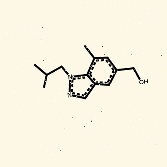 Cc1cc(CO)cc2cnn(CC(C)C)c12